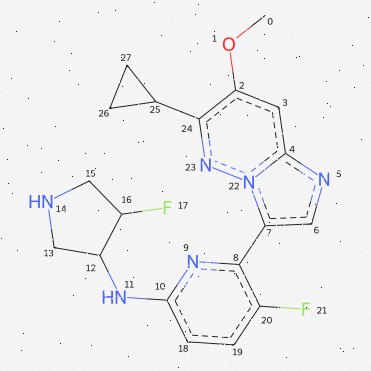 COc1cc2ncc(-c3nc(NC4CNCC4F)ccc3F)n2nc1C1CC1